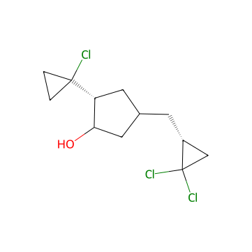 OC1CC(C[C@@H]2CC2(Cl)Cl)C[C@H]1C1(Cl)CC1